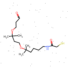 CC(C)(CCCCNC(=O)CS)OCCC(C)(C)OCCC=O